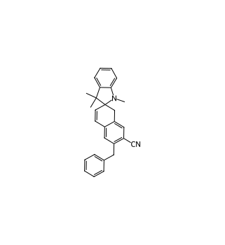 CN1c2ccccc2C(C)(C)C12C=Cc1cc(Cc3ccccc3)c(C#N)cc1C2